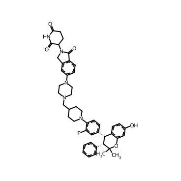 CC1(C)Oc2cc(O)ccc2[C@@H](c2ccc(N3CCC(CN4CCN(c5ccc6c(c5)CN(C5CCC(=O)NC5=O)C6=O)CC4)CC3)c(F)c2)[C@H]1c1ccccc1